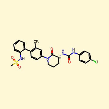 CS(=O)(=O)Nc1ccccc1-c1ccc(N2CCC[C@@H](NC(=O)Nc3ccc(Cl)cc3)C2=O)cc1C(F)(F)F